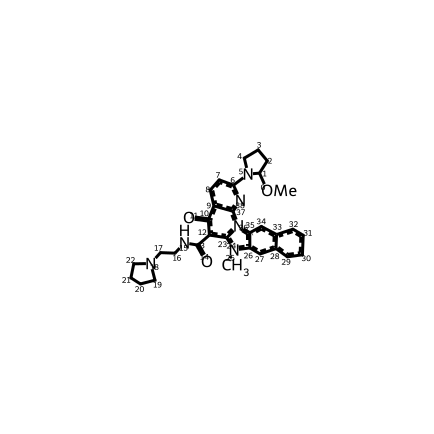 COC1CCCN1c1ccc2c(=O)c(C(=O)NCCN3CCCC3)c3n(C)c4cc5ccccc5cc4n3c2n1